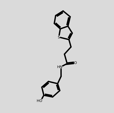 O=C(CCc1cc2ccccc2s1)NCc1ccc(O)cc1